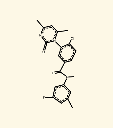 Cc1cc(F)cc(N(C)C(=O)c2ccc(Cl)c(-n3c(C)cc(C)nc3=O)c2)c1